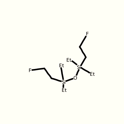 CC[Si](CC)(CCF)O[Si](CC)(CC)CCF